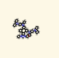 c1ccc(-n2ccn(-c3ccccc3)c3cc4c5cc(-n6c7ccccc7c7cc(-n8c9ccccc9c9ccccc98)ccc76)ccc5c5ccc(-n6c7ccccc7c7cc(-n8c9ccccc9c9ccccc98)ccc76)cc5c5ccccc5c4cc32)cc1